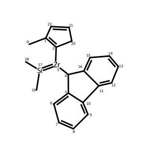 CC1=[C]([Zr]([CH]2c3ccccc3-c3ccccc32)=[Si](C)C)CC=C1